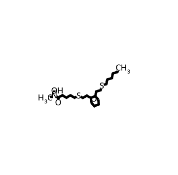 CCCCCCSCCC1C2CCC(O2)C1CCSCCCCC(=O)N(C)O